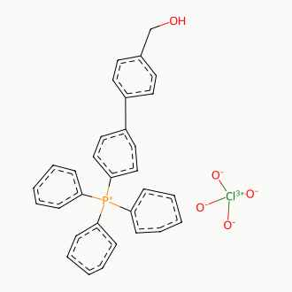 OCc1ccc(-c2ccc([P+](c3ccccc3)(c3ccccc3)c3ccccc3)cc2)cc1.[O-][Cl+3]([O-])([O-])[O-]